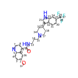 COc1ccc2nccc(C(=O)NCCCN3CCC(c4c[nH]c5cc(C(F)(F)F)ccc45)CC3)c2c1